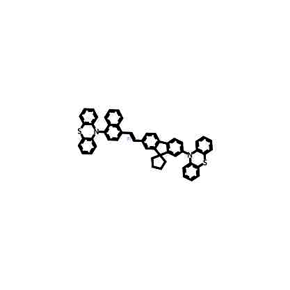 C(=C\c1ccc(N2c3ccccc3Sc3ccccc32)c2ccccc12)/c1ccc2c(c1)C1(CCCC1)c1cc(N3c4ccccc4Sc4ccccc43)ccc1-2